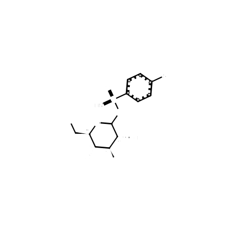 N=S(=O)(OC1O[C@H](CO)[C@@H](O)[C@H](O)[C@H]1O)c1ccc(N)cc1